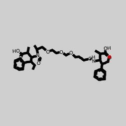 CCC(c1ccccc1)C(NOCCCOCOCCOCC(C)N(C=O)C(C(C)C(=O)O)C(CC)c1ccccc1)C(C)C(=O)O